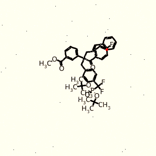 COC(=O)c1cccc(C(CC=Cc2ccccc2)(Cc2ccc(C(F)(F)P(=O)(OC(C)(C)C)OC(C)(C)C)cc2)C(=O)c2ccc(F)cc2)c1